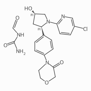 NC(=O)NC=O.O=C1COCCN1c1ccc([C@H]2C[C@@H](O)CN2c2ccc(Cl)cn2)cc1